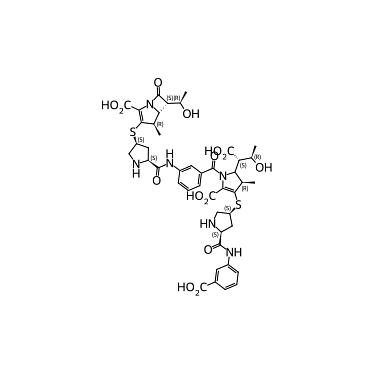 C[C@H]1C(S[C@@H]2CN[C@H](C(=O)Nc3cccc(C(=O)O)c3)C2)=C(C(=O)O)N(C(=O)c2cccc(NC(=O)[C@@H]3C[C@H](SC4=C(C(=O)O)N5C(=O)[C@H]([C@@H](C)O)C5[C@H]4C)CN3)c2)C1[C@H](C(=O)O)[C@@H](C)O